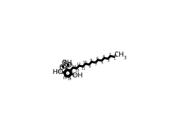 CCCCCCCCCCCCCCCc1c(O)ccc(O)c1S(=O)(=O)O